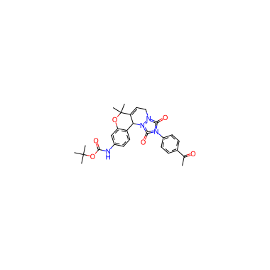 CC(=O)c1ccc(-n2c(=O)n3n(c2=O)C2C(=CC3)C(C)(C)Oc3cc(NC(=O)OC(C)(C)C)ccc32)cc1